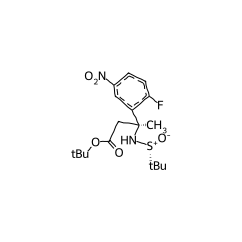 CC(C)(C)OC(=O)C[C@](C)(N[S@+]([O-])C(C)(C)C)c1cc([N+](=O)[O-])ccc1F